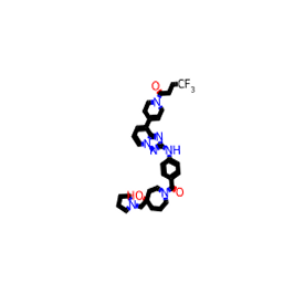 O=C(CCC(F)(F)F)N1CC=C(c2cccn3nc(Nc4ccc(C(=O)N5CCCC(O)(CN6CCCC6)CC5)cc4)nc23)CC1